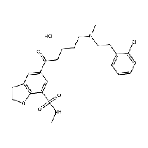 CNS(=O)(=O)c1cc(C(=O)CCCCN(C)CCc2ccccc2Cl)cc2c1OCC2.Cl